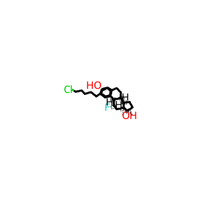 C[C@]12C[C@H](F)[C@@H]3c4cc(CCCCCCl)c(O)cc4CC[C@H]3[C@@H]1CC[C@@]2(C)O